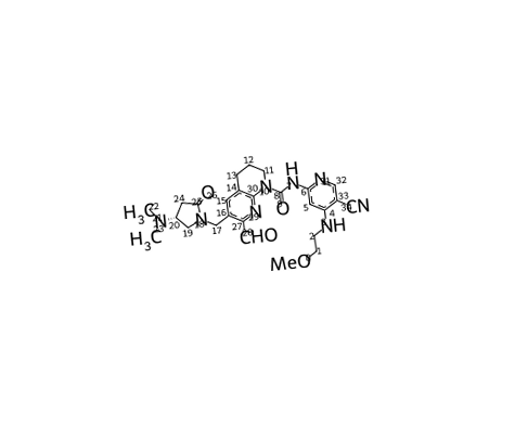 COCCNc1cc(NC(=O)N2CCCc3cc(CN4C[C@H](N(C)C)CC4=O)c(C=O)nc32)ncc1C#N